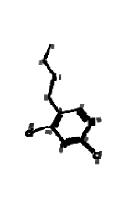 CCSCc1cnc(Cl)nc1Cl